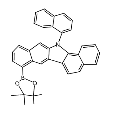 CC1(C)OB(c2cccc3cc4c(cc23)c2ccc3ccccc3c2n4-c2cccc3ccccc23)OC1(C)C